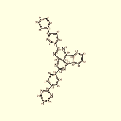 c1ccc(-c2ccc(-c3nc4c5c(nc(-c6ccc(-c7ncccn7)cc6)nc5n3)-c3ccccc3-4)cc2)cc1